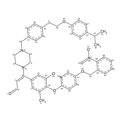 Cc1cc(/C(=C\C=O)N2CCN(Cc3ccc(CCOc4ccc(C(C)C)cc4)cc3)CC2)cc(Cl)c1Oc1ccc(OCc2ccccc2[N+](=O)[O-])cn1